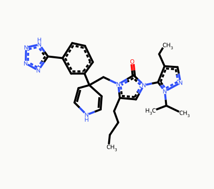 CCCCc1cn(-c2c(CC)cnn2C(C)C)c(=O)n1CC1(c2cccc(-c3nnn[nH]3)c2)C=CNC=C1